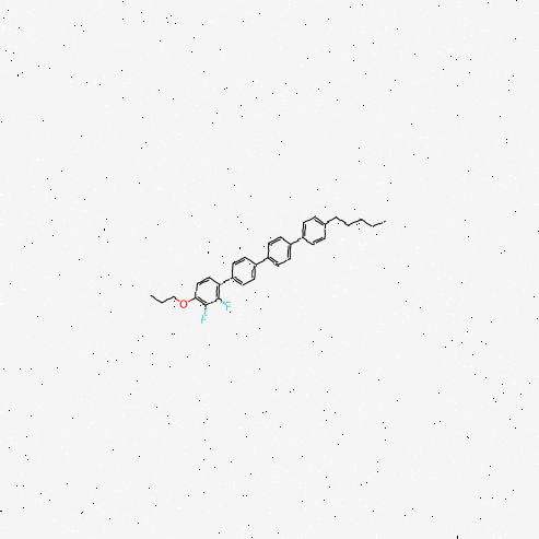 CCCCCc1ccc(-c2ccc(-c3ccc(-c4ccc(OCCC)c(F)c4F)cc3)cc2)cc1